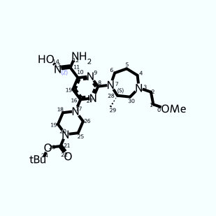 COCCN1CCCN(c2nc(/C(N)=N/O)cc(N3CCN(C(=O)OC(C)(C)C)CC3)n2)[C@@H](C)C1